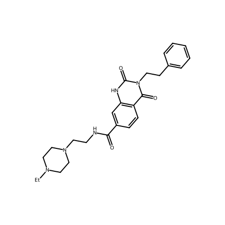 CCN1CCN(CCNC(=O)c2ccc3c(=O)n(CCc4ccccc4)c(=O)[nH]c3c2)CC1